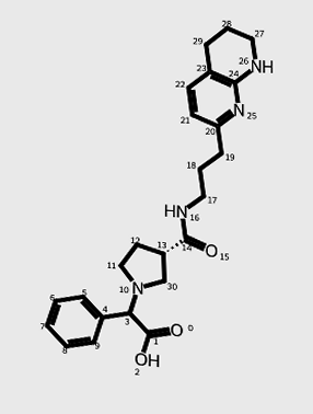 O=C(O)C(c1ccccc1)N1CC[C@H](C(=O)NCCCc2ccc3c(n2)NCCC3)C1